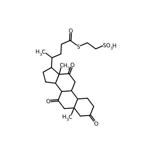 CC(CCC(=O)SCCS(=O)(=O)O)C1CCC2C3C(=O)CC4(C)CC(=O)CCC4C3CC(=O)C12C